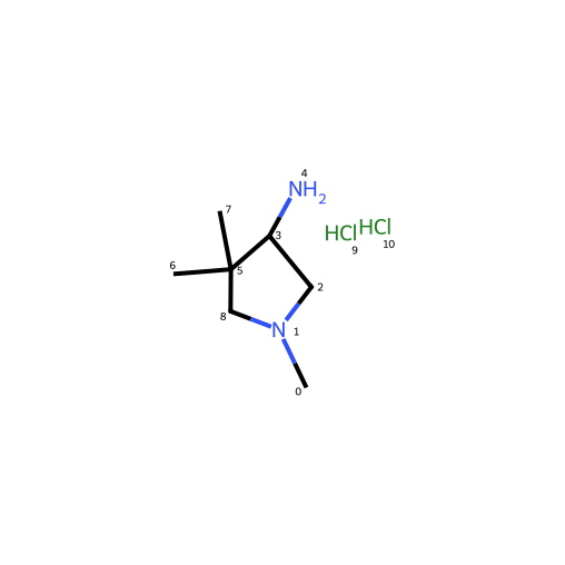 CN1CC(N)C(C)(C)C1.Cl.Cl